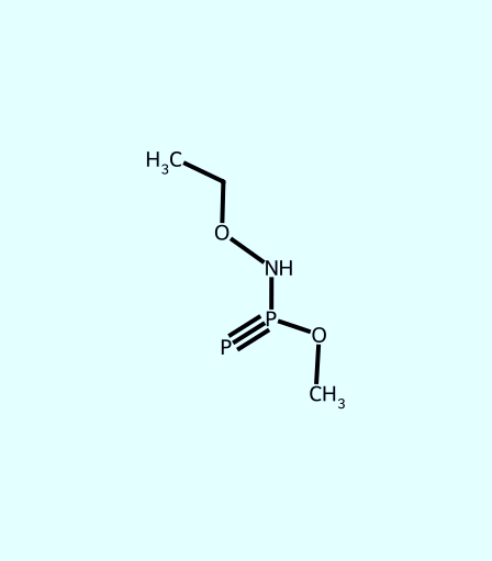 CCONP(#P)OC